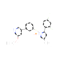 [CH2]c1cc(-c2ccc(F)cc2F)n(S(=O)(=O)c2cccc(-c3cncc(OC)c3)c2)c1